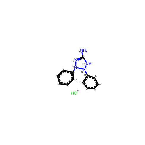 Cl.NC1=NN(c2ccccc2)N(c2ccccc2)N1